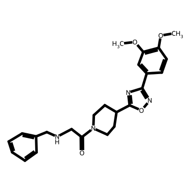 COc1ccc(-c2noc(C3CCN(C(=O)CNCc4ccccc4)CC3)n2)cc1OC